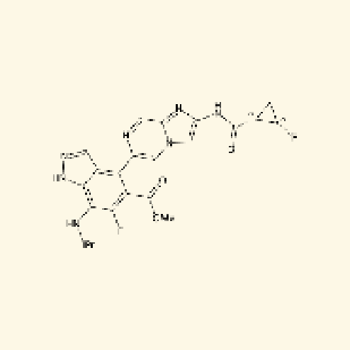 COC(=O)c1c(F)c(NC(C)C)c2[nH]ncc2c1-c1cn2cc(NC(=O)[C@@H]3C[C@@H]3F)nc2cn1